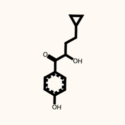 O=C(c1ccc(O)cc1)C(O)CCC1CC1